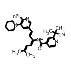 CCCc1ncc(/C=C/C(=C\C=C(C)C)NC(=O)c2ccnc(C(C)(C)C#N)c2)cc1N1CCCCC1